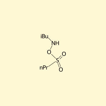 CCCS(=O)(=O)ONC(C)CC